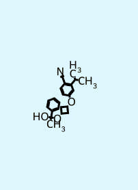 CC(C)c1cc(O[C@H]2C[C@@H](OC(C)(O)c3ccccc3)C2)ccc1C#N